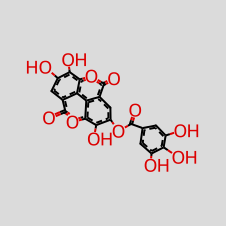 O=C(Oc1cc2c(=O)oc3c(O)c(O)cc4c(=O)oc(c1O)c2c34)c1cc(O)c(O)c(O)c1